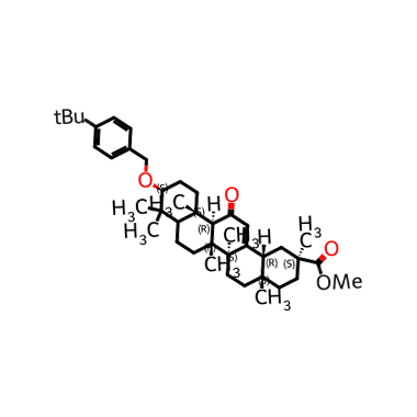 COC(=O)[C@@]1(C)CC[C@]2(C)CC[C@]3(C)C(=CC(=O)[C@@H]4[C@@]5(C)CC[C@H](OCc6ccc(C(C)(C)C)cc6)C(C)(C)C5CC[C@]43C)[C@@H]2C1